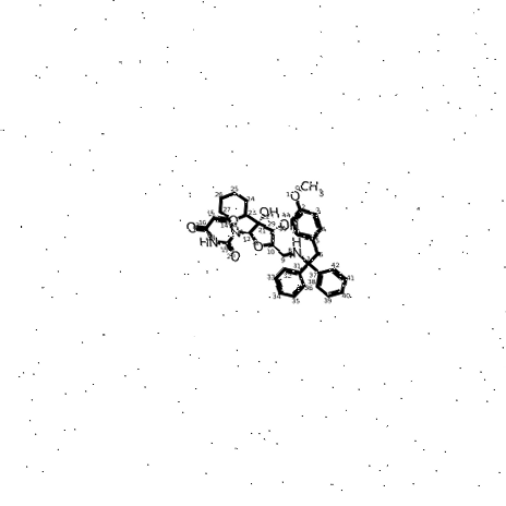 COc1ccc(CC(NC[C@H]2O[C@@H](n3ccc(=O)[nH]c3=O)[C@@](O)(C3CCCCO3)[C@@H]2O)(c2ccccc2)c2ccccc2)cc1